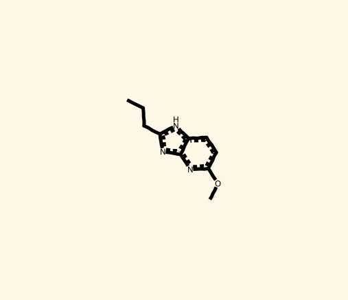 CCCc1nc2nc(OC)ccc2[nH]1